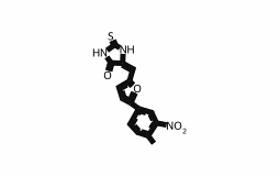 Cc1ccc(-c2ccc(/C=C3/NC(=S)NC3=O)o2)cc1[N+](=O)[O-]